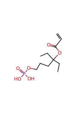 C=CC(=O)OC(CC)(CC)CCCOP(=O)(O)O